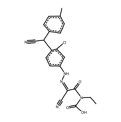 CCN(C(=O)O)C(=O)C(C#N)=NNc1ccc(C(C#N)c2ccc(C)cc2)c(Cl)c1